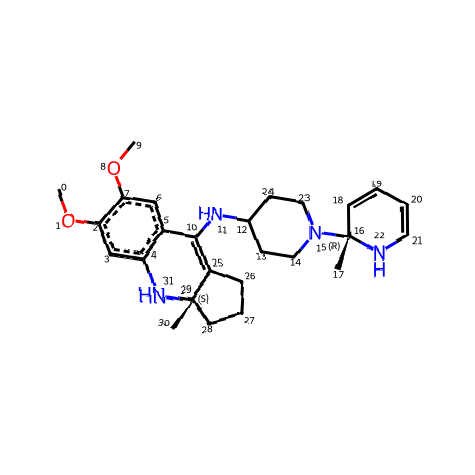 COc1cc2c(cc1OC)C(NC1CCN([C@]3(C)C=CC=CN3)CC1)=C1CCC[C@]1(C)N2